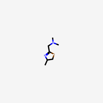 CC1CSC(CN(C)C)=N1